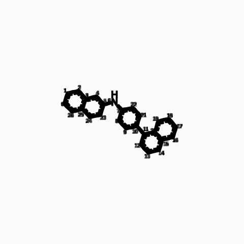 c1ccc2cc(Nc3ccc(-c4cccc5ccccc45)cc3)ccc2c1